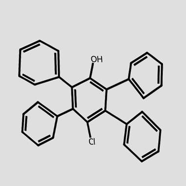 Oc1c(-c2ccccc2)c(-c2ccccc2)c(Cl)c(-c2ccccc2)c1-c1ccccc1